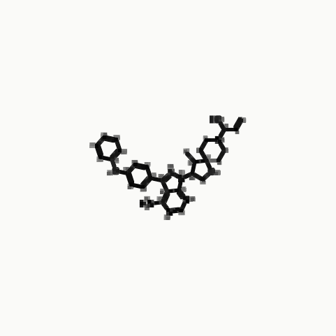 C=CC(O)N1CCC2(CC1)OCC(n1nc(-c3ccc(Oc4ccccc4)cc3)c3c(N)ncnc31)C2C